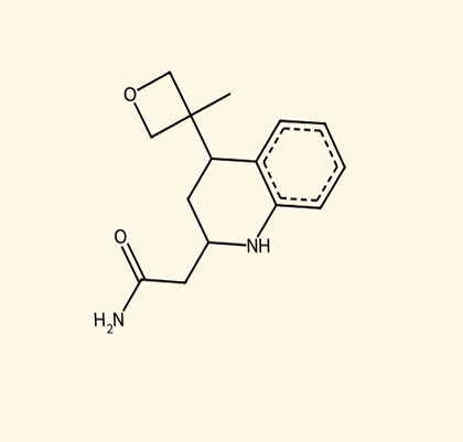 CC1(C2CC(CC(N)=O)Nc3ccccc32)COC1